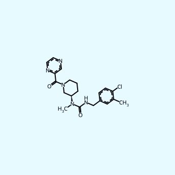 Cc1cc(CNC(=O)N(C)[C@@H]2CCCN(C(=O)c3cnccn3)C2)ccc1Cl